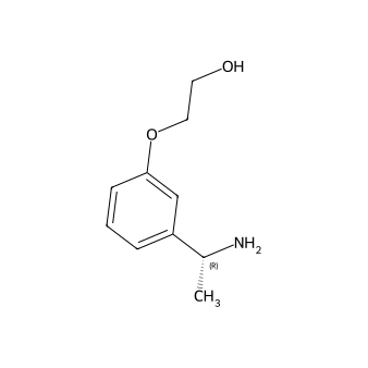 C[C@@H](N)c1cccc(OCCO)c1